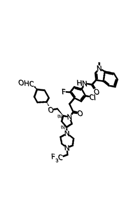 Cn1cc(C(=O)Nc2cc(F)c(CC(=O)N3C[C@@H](N4CCN(CC(F)(F)F)CC4)C[C@H]3CO[C@H]3CC[C@H](C=O)CC3)cc2Cl)c2ccccc21